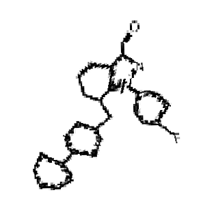 O=Cc1nn(-c2ccc(F)cc2)c2c1CCCC2Cc1ccc(-c2ccccc2)cc1